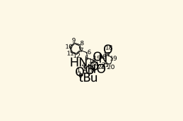 CC(C)(C)OC(=O)N[C@@H](Cc1ccccc1)C(=O)ON1C(=O)CCC1O